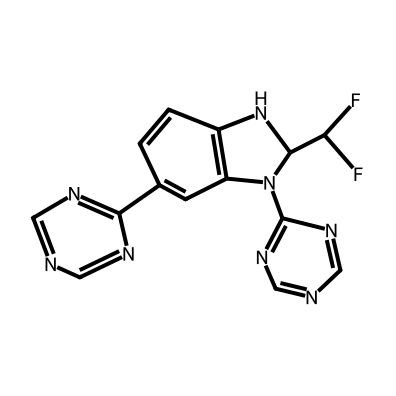 FC(F)C1Nc2ccc(-c3ncncn3)cc2N1c1ncncn1